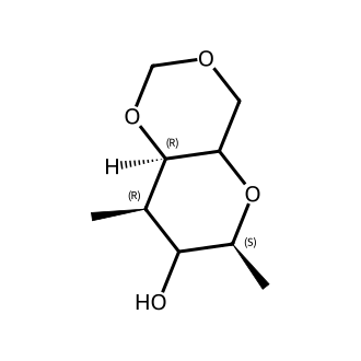 C[C@@H]1OC2COCO[C@@H]2[C@H](C)C1O